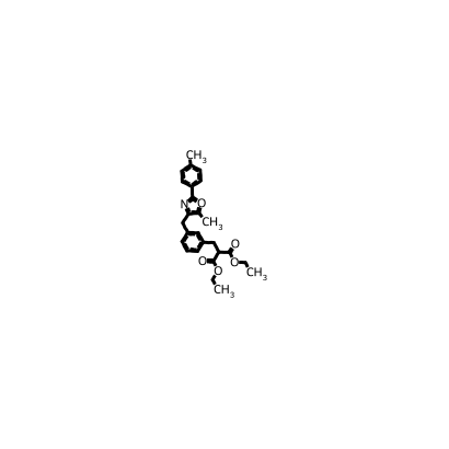 CCOC(=O)C(Cc1cccc(Cc2nc(-c3ccc(C)cc3)oc2C)c1)C(=O)OCC